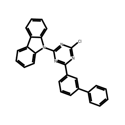 Clc1nc(-c2cccc(-c3ccccc3)c2)nc(-n2c3ccccc3c3ccccc32)n1